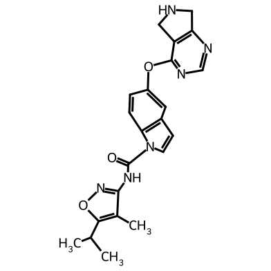 Cc1c(NC(=O)n2ccc3cc(Oc4ncnc5c4CNC5)ccc32)noc1C(C)C